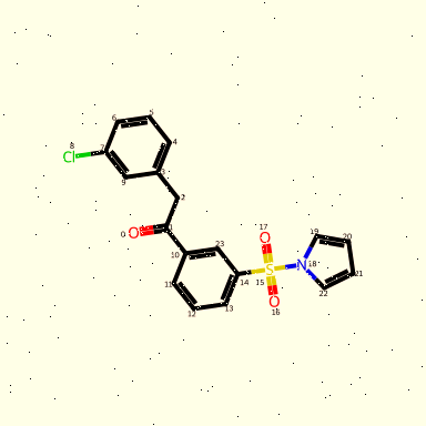 O=C(Cc1cccc(Cl)c1)c1cccc(S(=O)(=O)n2cccc2)c1